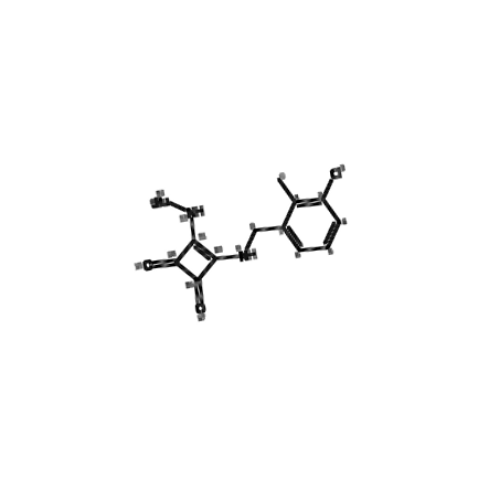 Cc1c(Cl)cccc1CNc1c(NC(C)(C)C)c(=O)c1=O